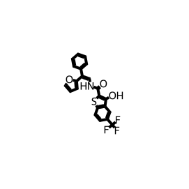 O=C(NC=C(c1ccccc1)c1ccco1)c1sc2ccc(C(F)(F)F)cc2c1O